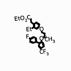 CCOC(=O)CCc1ccc(OCC[C@H](C)Oc2ccc(C(F)(F)F)cc2-c2ccc(F)cc2)cc1CC